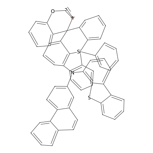 c1ccc([Si]2(c3ccccc3)c3ccccc3C3(c4ccccc4Oc4ccccc43)c3cccc(N(c4ccc5c(ccc6ccccc65)c4)c4cccc5c4sc4ccccc45)c32)cc1